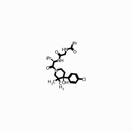 CC(C)C(=O)NCC(=O)N[C@@H](C(=O)N1CC[C@](O)(c2ccc(Cl)cc2)C(C)(C)C1)C(C)C